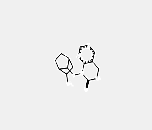 CC1CC2CCC1C2SN1C(=O)NCc2cncnc21